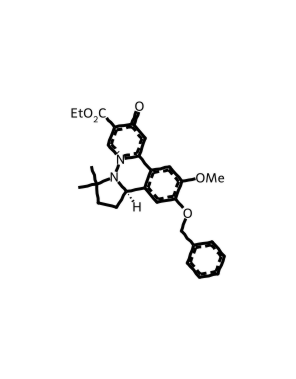 CCOC(=O)c1cn2c(cc1=O)-c1cc(OC)c(OCc3ccccc3)cc1[C@H]1CCC(C)(C)N12